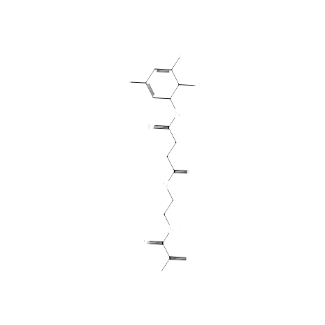 C=C(C)C(=N)NCCNC(=O)CCC(=N)NC1C=C(I)C=C(I)C1I